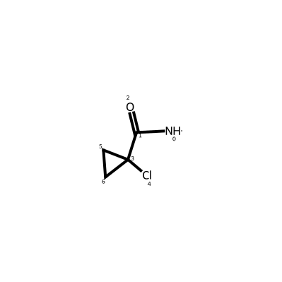 [NH]C(=O)C1(Cl)CC1